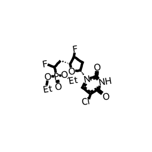 CCOP(=O)(OCC)C(F)C[C@H]1O[C@@H](n2cc(Cl)c(=O)[nH]c2=O)CC1F